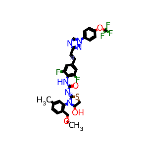 COCc1ccc(C)cc1N1/C(=N/C(=O)Nc2c(F)cc(/C=C/c3ncn(-c4ccc(OC(F)(F)F)cc4)n3)cc2F)SCC1O